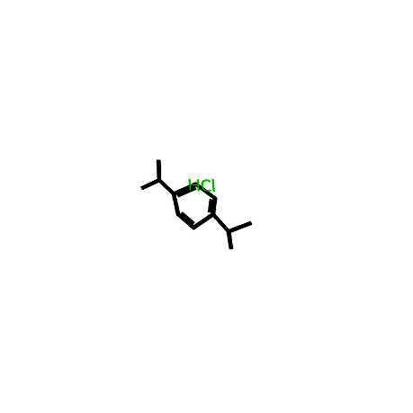 CC(C)c1ccc(C(C)C)cc1.Cl